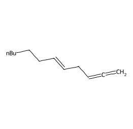 C=C=CCC=CCCCCCC